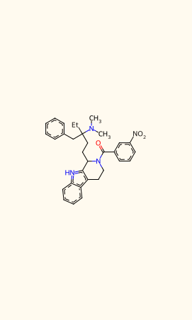 CCC(CCC1c2[nH]c3ccccc3c2CCN1C(=O)c1cccc([N+](=O)[O-])c1)(Cc1ccccc1)N(C)C